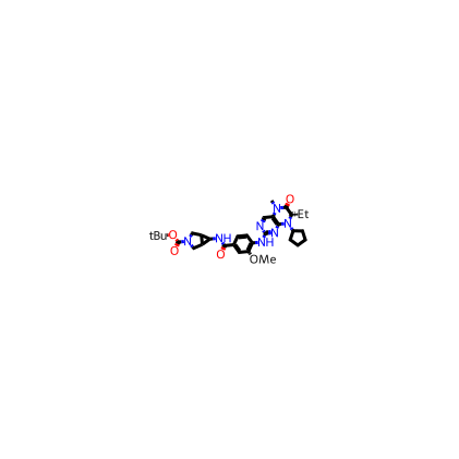 CC[C@@H]1C(=O)N(C)c2cnc(Nc3ccc(C(=O)NC4C5CN(C(=O)OC(C)(C)C)CC54)cc3OC)nc2N1C1CCCC1